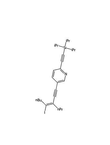 CCCC/C(I)=C(\C#Cc1ccc(C#C[Si](C(C)C)(C(C)C)C(C)C)nc1)CCC